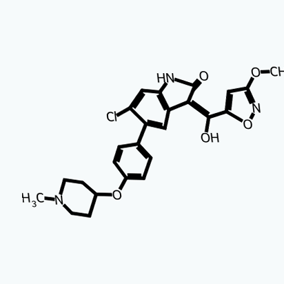 COc1cc(C(O)=C2C(=O)Nc3cc(Cl)c(-c4ccc(OC5CCN(C)CC5)cc4)cc32)on1